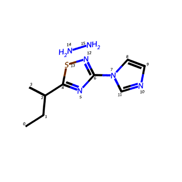 CCC(C)c1nc(-n2ccnc2)ns1.NN